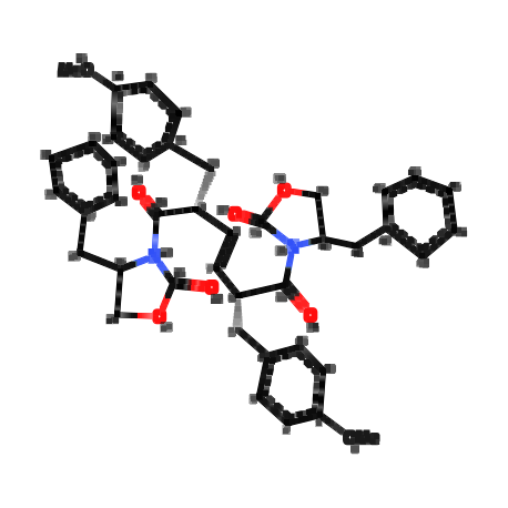 COc1ccc(C[C@H](C=C[C@@H](Cc2ccc(OC)cc2)C(=O)N2C(=O)OCC2Cc2ccccc2)C(=O)N2C(=O)OCC2Cc2ccccc2)cc1